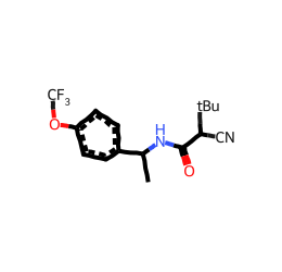 CC(NC(=O)C(C#N)C(C)(C)C)c1ccc(OC(F)(F)F)cc1